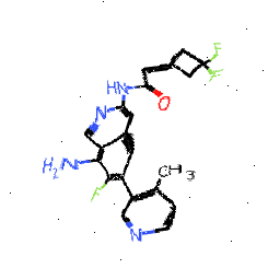 Cc1ccncc1-c1cc2cc(NC(=O)C=C3CC(F)(F)C3)ncc2c(N)c1F